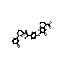 O=C(N[C@H]1CCCN(c2cccc(Cl)c2)C1)c1ccc(Oc2cc3c(cc2Cl)C(C(=O)O)CCO3)cc1